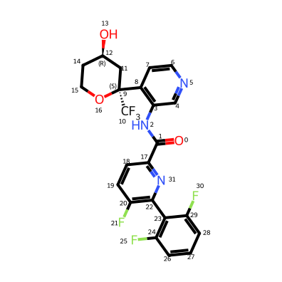 O=C(Nc1cnccc1[C@]1(C(F)(F)F)C[C@H](O)CCO1)c1ccc(F)c(-c2c(F)cccc2F)n1